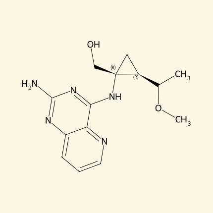 COC(C)[C@@H]1C[C@@]1(CO)Nc1nc(N)nc2cccnc12